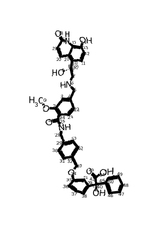 COc1cc(CNC[C@H](O)c2ccc(O)c3[nH]c(=O)ccc23)ccc1C(=O)NCc1ccc(COc2cccc([C@](O)(C(=O)O)c3ccccc3)c2)cc1